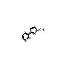 Cn1[c]cc(-c2cccnc2)n1